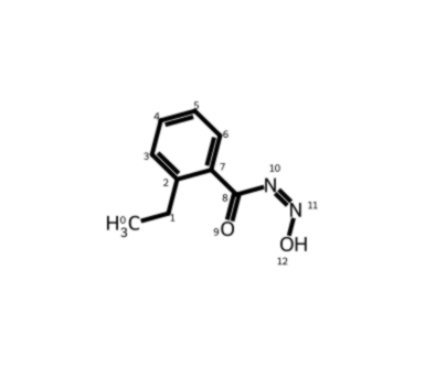 CCc1ccccc1C(=O)/N=N\O